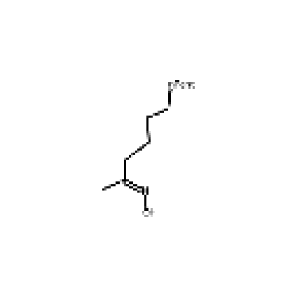 CCCCCCCCCC(C)=NO